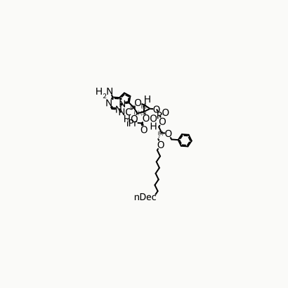 CCCCCCCCCCCCCCCCCCOC[C@H](COP(=O)(O)OC1[C@H]2O[C@@](C#N)(c3ccc4c(N)ncnn34)[C@H](O)[C@@]12OC(=O)C(C)C)OCc1ccccc1